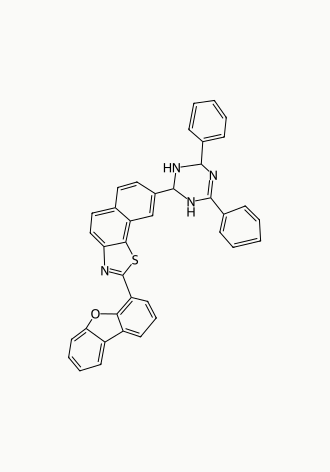 c1ccc(C2=NC(c3ccccc3)NC(c3ccc4ccc5nc(-c6cccc7c6oc6ccccc67)sc5c4c3)N2)cc1